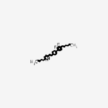 C/C=C/CCc1ccc(CCC2CC=C(c3ccc(CCCCCC)c(F)c3F)CC2)nn1